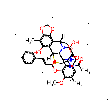 COc1c(C)cc2c(c1OC(=O)/C=C/c1ccccc1)C1NC(C2)[C@H](O)N2C1[C@@H]1SCC(NC(C)=O)C(=O)OC[C@H]2c2c3c(c(C)c(O)c21)OCO3